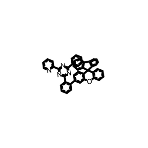 c1ccc(-c2nc(-c3ccccn3)nc(-c3ccccc3-c3ccc4c(c3)Oc3ccccc3C43c4ccccc4-c4ccccc43)n2)cc1